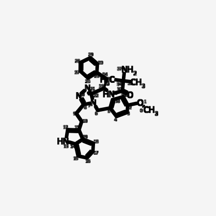 COc1ccc(Cn2c(CCc3c[nH]c4ccccc34)nnc2[C@@H](Cc2ccccc2)NC(=O)C(C)(C)N)cc1